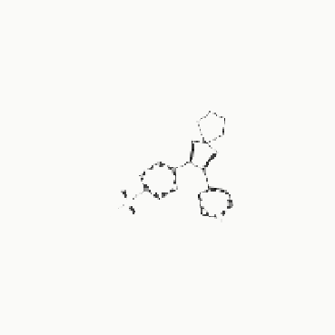 CS(=O)(=O)c1ccc(C2=CC3(C=C2c2ccncc2)CCCC3)cc1